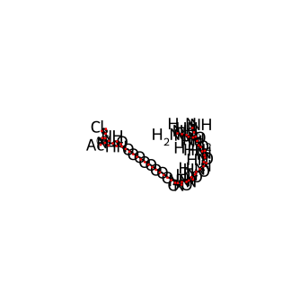 CC(=O)N1c2ccc(-c3ccc(C(=O)NCCOCCOCCOCCOCCOCCOCCOCCOCCNC(=O)c4cc(NC(=O)c5nc(NC(=O)CCNC(=O)c6cc(NC(=O)c7nc(NC(=O)CCNC(=O)[C@H](CCCNC(=N)N)NC(=O)[C@@H](N)CCCNC(=N)N)cn7C)cn6C)cn5C)cn4C)cc3)cc2[C@H](Nc2ccc(Cl)cc2)C[C@@H]1C